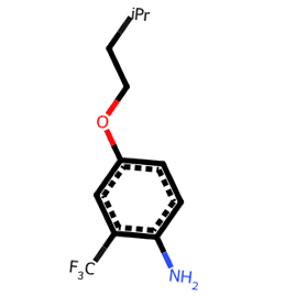 CC(C)CCOc1ccc(N)c(C(F)(F)F)c1